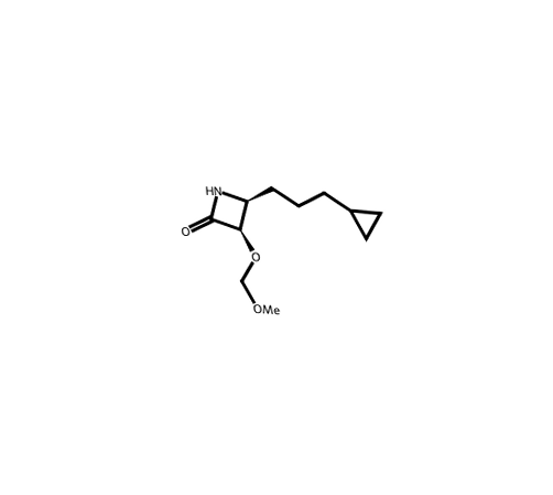 COCO[C@H]1C(=O)N[C@H]1CCCC1CC1